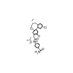 CC[C@H]1COc2cn([C@@H](C[C@H](C)OC)C(=O)Nc3ccc(C(N)=O)cc3)c(=O)cc2-c2cc(Cl)ccc2C1